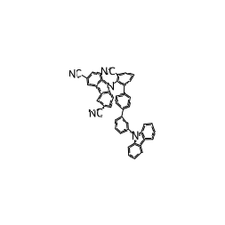 N#Cc1ccc2c(c1)c1cc(C#N)ccc1n2-c1c(C#N)cccc1-c1ccc(-c2cccc(-n3c4ccccc4c4ccccc43)c2)cc1